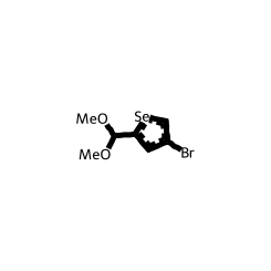 COC(OC)c1cc(Br)c[se]1